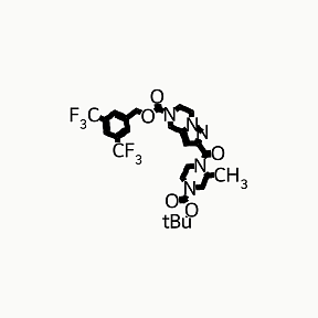 CC1CN(C(=O)OC(C)(C)C)CCN1C(=O)c1cc2n(n1)CCN(C(=O)OCc1cc(C(F)(F)F)cc(C(F)(F)F)c1)C2